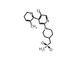 CC1=CCCN=C1c1cc(N2CCC(CS(C)(=O)=O)CC2)ncc1Cl